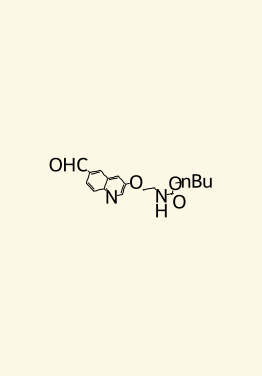 CCCCOC(=O)NCCOc1cnc2ccc(C=O)cc2c1